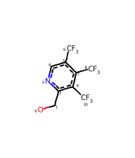 [O]Cc1ncc(C(F)(F)F)c(C(F)(F)F)c1C(F)(F)F